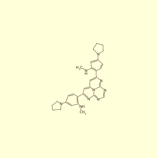 CNc1cc(N2CCCC2)ccc1C1=CC2=CC(c3ccc(N4CCCC4)cc3NC)=NC3=NC=NC(=N1)N23